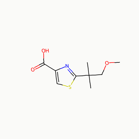 COCC(C)(C)c1nc(C(=O)O)cs1